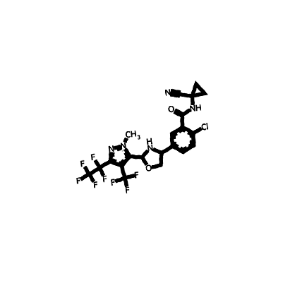 Cn1nc(C(F)(F)C(F)(F)F)c(C(F)(F)F)c1C1NC(c2ccc(Cl)c(C(=O)NC3(C#N)CC3)c2)CO1